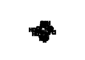 Fc1cccc(Cl)c1CNc1ncnc2nc[nH]c12.O=P(O)(O)OC[C@H]1OC(O)[C@H](O)[C@@H]1O